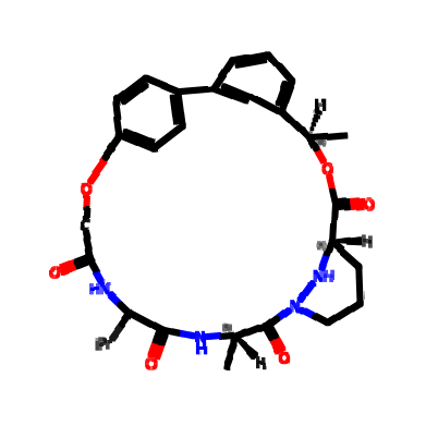 CC(C)C1NC(=O)COc2ccc(cc2)-c2cccc(c2)[C@@H](C)OC(=O)[C@@H]2CCCN(N2)C(=O)[C@H](C)NC1=O